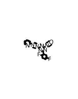 Fc1ccc(F)c(-c2nc(N3CCOCC3)nc(N3CCN(c4ccccn4)CC3)n2)c1